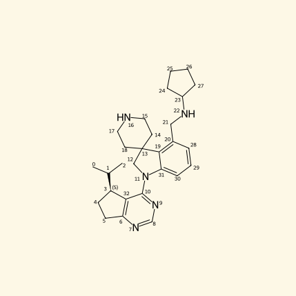 CC(C)[C@@H]1CCc2ncnc(N3CC4(CCNCC4)c4c(CNC5CCCC5)cccc43)c21